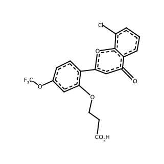 O=C(O)CCOc1cc(OC(F)(F)F)ccc1-c1cc(=O)c2cccc(Cl)c2o1